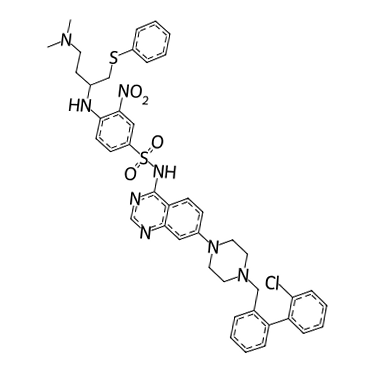 CN(C)CCC(CSc1ccccc1)Nc1ccc(S(=O)(=O)Nc2ncnc3cc(N4CCN(Cc5ccccc5-c5ccccc5Cl)CC4)ccc23)cc1[N+](=O)[O-]